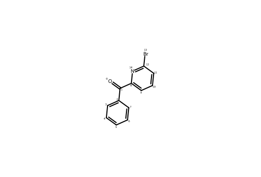 O=C(c1ccccc1)c1cccc(Br)n1